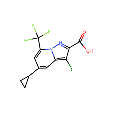 O=C(O)c1nn2c(C(F)(F)F)cc(C3CC3)cc2c1Cl